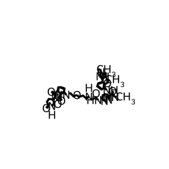 CNC(=O)c1nnc(NC(=O)CNCCCOCCNc2cccc3c2C(=O)N(C2CCC(=O)NC2=O)C3=O)cc1Nc1cccc(-c2ncn(C)n2)c1OC